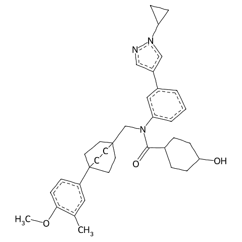 COc1ccc(C23CCC(CN(C(=O)C4CCC(O)CC4)c4cccc(-c5cnn(C6CC6)c5)c4)(CC2)CC3)cc1C